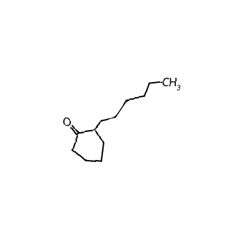 CCCCCCC1CCCCC1=O